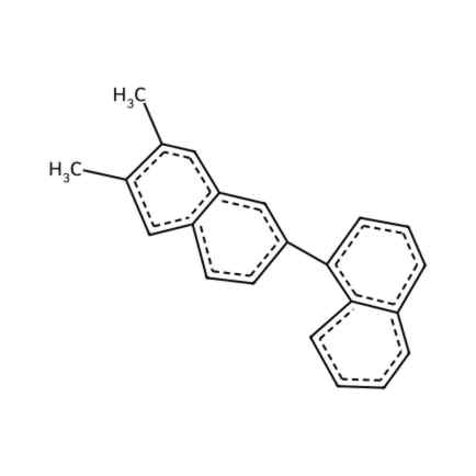 Cc1cc2ccc(-c3cccc4ccccc34)cc2cc1C